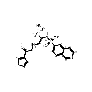 C[C@H](CNCC(=O)c1ccsc1)NS(=O)(=O)c1ccc2cnccc2c1.Cl.Cl